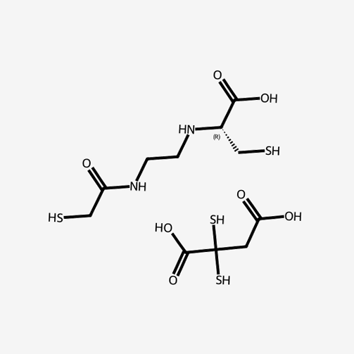 O=C(CS)NCCN[C@@H](CS)C(=O)O.O=C(O)CC(S)(S)C(=O)O